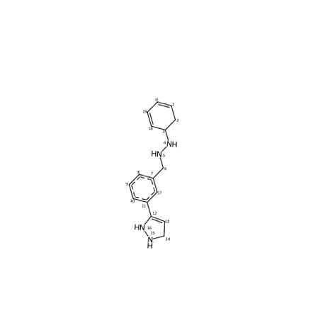 C1=CCC(NNCc2cccc(C3=CCNN3)c2)C=C1